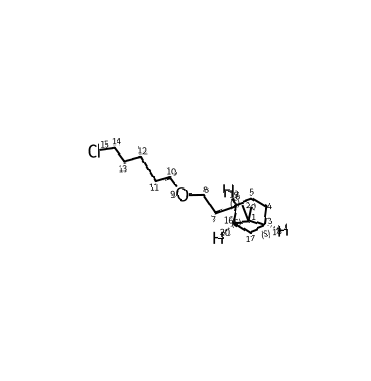 CC1(C)[C@H]2CC[C@@H](CCOCCCCCCl)[C@@H]1C2